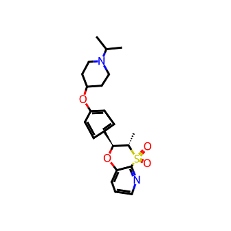 CC(C)N1CCC(Oc2ccc([C@@H]3Oc4cccnc4S(=O)(=O)[C@H]3C)cc2)CC1